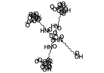 CC(=O)N[C@H]1[C@H](OCCCCCCNC(=O)CCOC2[C@H](OCCC(=O)NCCCCCCO[C@@H]3O[C@H](COC(C)=O)[C@H](OC(C)=O)[C@H](OC(C)=O)[C@H]3NC(C)=O)CC(C(=O)NCCCCCCCCCCC(=O)O)C[C@H]2OCCC(=O)NCCCCCCO[C@@H]2O[C@H](COC(C)=O)[C@H](OC(C)=O)[C@H](OC(C)=O)[C@H]2NC(C)=O)O[C@H](COC(C)=O)[C@H](OC(C)=O)[C@@H]1OC(C)=O